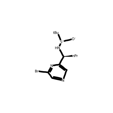 CCC[C@H](N[S+]([O-])C(C)(C)C)c1cncc(Br)n1